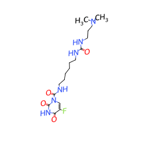 CN(C)CCCNC(=O)NCCCCCCNC(=O)n1cc(F)c(=O)[nH]c1=O